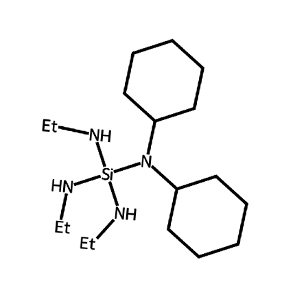 CCN[Si](NCC)(NCC)N(C1CCCCC1)C1CCCCC1